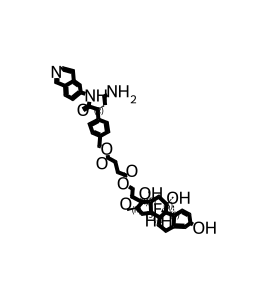 C[C@@H]1C[C@H]2[C@@H]3CCC4=CC(O)C=C[C@]4(C)[C@@]3(F)[C@@H](O)C[C@]2(C)[C@@]1(O)C(=O)COC(=O)CCC(=O)OCc1ccc([C@@H](CCN)C(=O)Nc2ccc3cnccc3c2)cc1